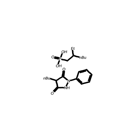 CCCCC(CC)CP(=O)(O)O.CCCCC1C(=O)NN(c2ccccc2)C1=O